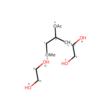 COCC(C)OC(C)=O.OCCO.OCCO